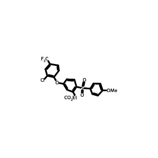 CCOC(=O)c1cc(Oc2ccc(C(F)(F)F)cc2Cl)ccc1S(=O)(=O)c1ccc(OC)cc1